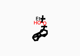 CCC(C)(C)C(O)OC(C)(C)C12CC3CC4C5=CCC3C(C1)C5C4C2